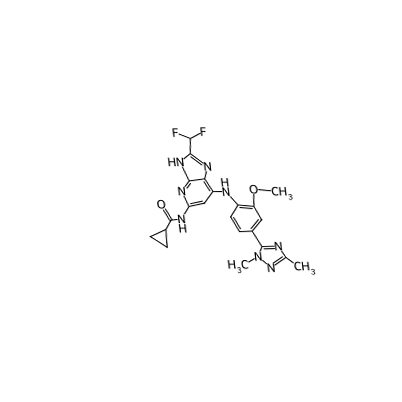 COc1cc(-c2nc(C)nn2C)ccc1Nc1cc(NC(=O)C2CC2)nc2[nH]c(C(F)F)nc12